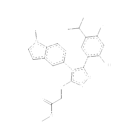 CNC(=O)CSc1nnc(-c2cc(C(C)C)c(O)cc2O)n1-c1ccc2c(ccn2C)c1